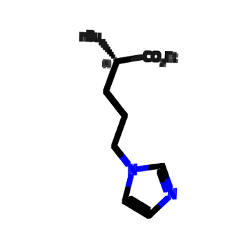 CCCC[C@@H](CCCn1ccnc1)C(=O)OCC